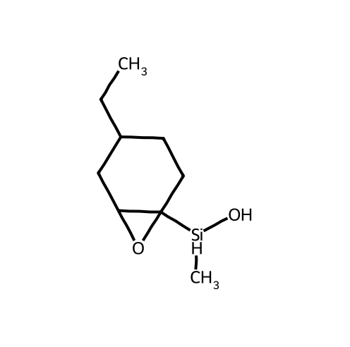 CCC1CCC2([SiH](C)O)OC2C1